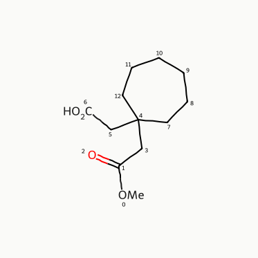 COC(=O)CC1(CC(=O)O)CCCCCC1